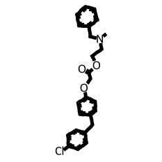 CN(CCOC(=O)COc1ccc(Cc2ccc(Cl)cc2)cc1)Cc1ccccc1